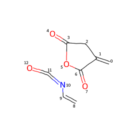 C=C1CC(=O)OC1=O.C=CN=C=O